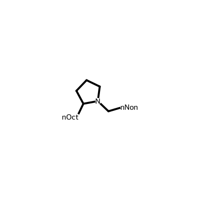 CCCCCCCCCCN1CCCC1CCCCCCCC